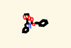 O=C(N[C@@H](Cc1ccccc1)C1OCCO1)OCc1ccccc1